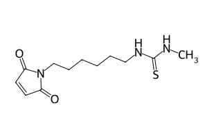 CNC(=S)NCCCCCCN1C(=O)C=CC1=O